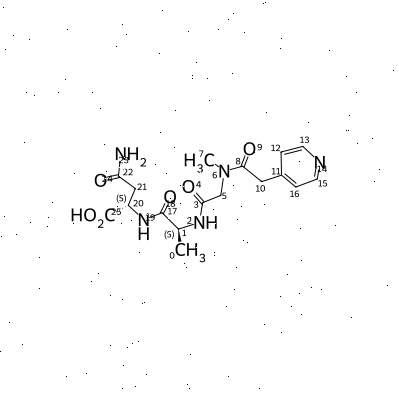 C[C@H](NC(=O)CN(C)C(=O)Cc1ccncc1)C(=O)N[C@@H](CC(N)=O)C(=O)O